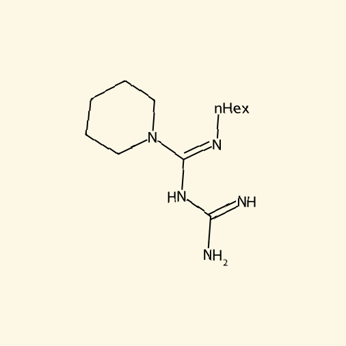 CCCCCC/N=C(/NC(=N)N)N1CCCCC1